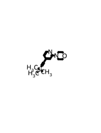 C[Si](C)(C)C#Cc1ccnc(N2CCOCC2)c1